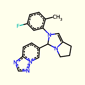 Cc1ccc(F)cc1N1C=C2CCCN2C1c1ccc2ncnn2c1